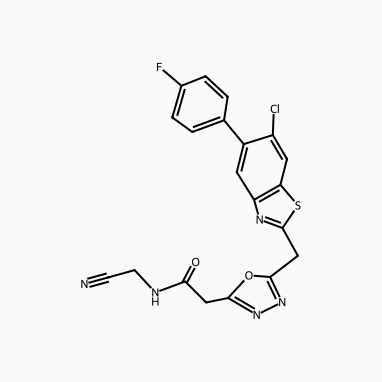 N#CCNC(=O)Cc1nnc(Cc2nc3cc(-c4ccc(F)cc4)c(Cl)cc3s2)o1